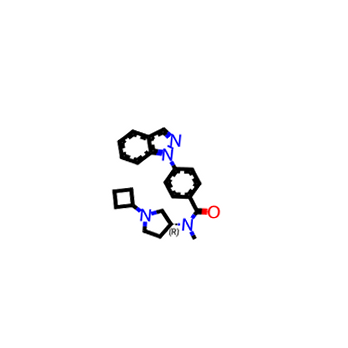 CN(C(=O)c1ccc(-n2ncc3ccccc32)cc1)[C@@H]1CCN(C2CCC2)C1